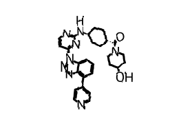 O=C([C@H]1CC[C@H](Nc2nccc(-n3nnc4c(-c5ccncc5)cccc43)n2)CC1)N1CCC(O)CC1